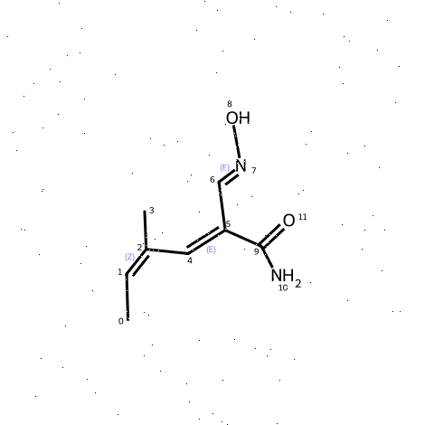 C\C=C(C)/C=C(\C=N\O)C(N)=O